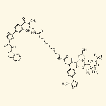 Cc1ncsc1-c1ccc(C(CC(=O)NCCOCCOCCC(=O)NCCN(C)C(=O)c2ccc(-c3cc(C(=O)N[C@@H]4CCc5ccccc54)no3)cc2O)NC(=O)[C@@H]2C[C@@H](O)CN2C(=O)C(NC(=O)C2(F)CC2)C(C)(C)C)cc1